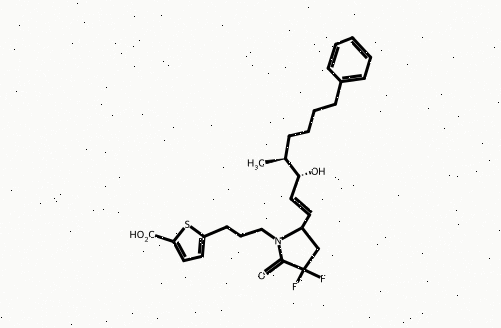 C[C@@H](CCCCc1ccccc1)[C@H](O)C=CC1CC(F)(F)C(=O)N1CCCc1ccc(C(=O)O)s1